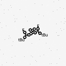 CC(C)(C)c1ccc(N(c2ccc(F)cc2)c2ccc3c(c2)C2(c4ccccc4-c4ccccc42)c2cc4cc(N(c5ccc(F)cc5)c5ccc(C(C)(C)C)cc5)ccc4cc2-3)cc1